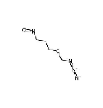 [N-]=[N+]=NCOCCCN=O